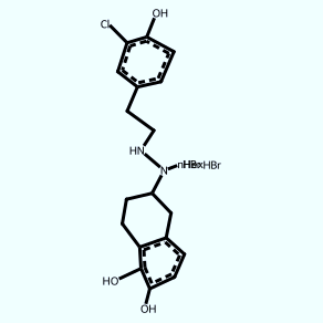 Br.Br.CCCCCCN(NCCc1ccc(O)c(Cl)c1)C1CCc2c(ccc(O)c2O)C1